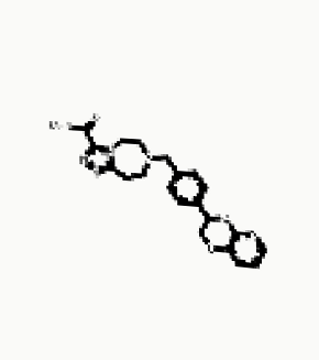 CNC(=O)c1nnc2n1CCN(Cc1ccc(C3COc4cccnc4O3)cc1)CC2